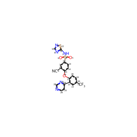 N#Cc1cc(S(=O)(=O)Nc2ncns2)ccc1Oc1ccc(C(F)(F)F)cc1-c1ccncn1